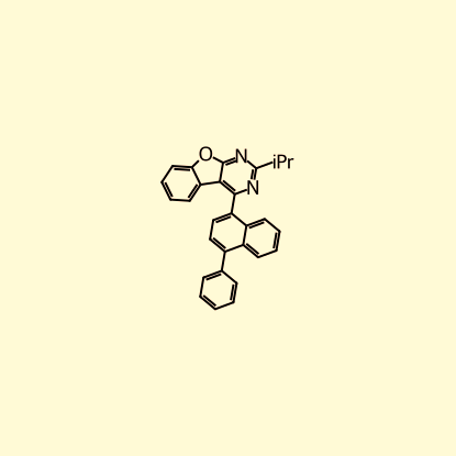 CC(C)c1nc(-c2ccc(-c3ccccc3)c3ccccc23)c2c(n1)oc1ccccc12